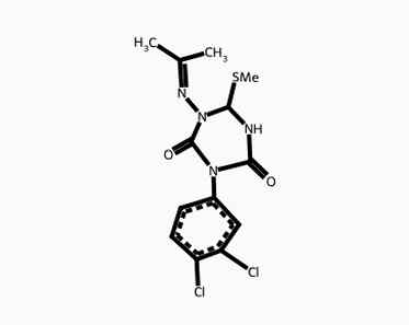 CSC1NC(=O)N(c2ccc(Cl)c(Cl)c2)C(=O)N1N=C(C)C